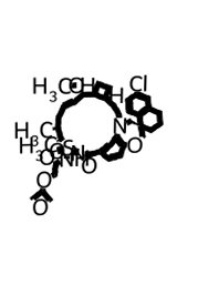 CO[C@H]1/C=C/C[C@H](C)[C@@H](C)S(=O)(NC(=O)COC2COC2)=NC(=O)c2ccc3c(c2)N(CC[C@@H]2CC[C@H]21)C[C@@]1(CCCc2cc(Cl)ccc21)CO3